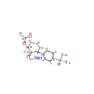 CN[C@@]1(c2ccc(C(F)(F)F)cc2)CCC[C@](C)(OC(C)=O)C1=O